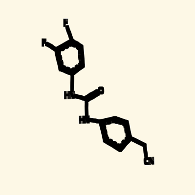 N#CCc1ccc(NC(=O)Nc2ccc(F)c(F)c2)cc1